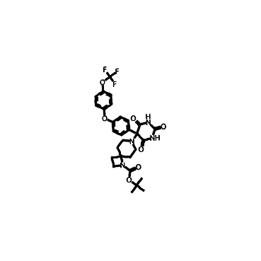 CC(C)(C)OC(=O)N1CCC12CCN(C1(c3ccc(Oc4ccc(OC(F)(F)F)cc4)cc3)C(=O)NC(=O)NC1=O)CC2